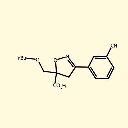 CCCCOCC1(C(=O)O)CC(c2cccc(C#N)c2)=NO1